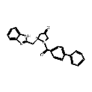 O=C1C[C@H](Cc2nc3ccccc3[nH]2)N(C(=O)c2ccc(-c3ccccc3)cc2)C1